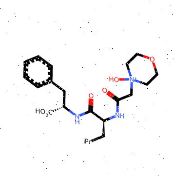 CC(C)C[C@H](NC(=O)C[N+]1(O)CCOCC1)C(=O)N[C@@H](Cc1ccccc1)C(=O)O